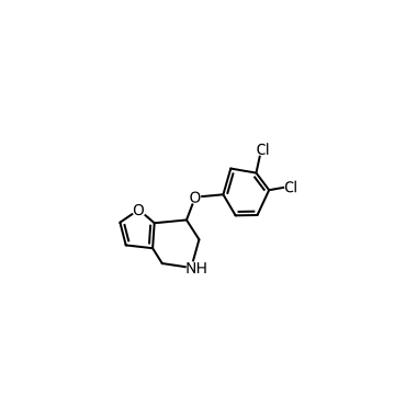 Clc1ccc(OC2CNCc3ccoc32)cc1Cl